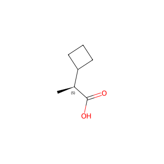 C[C@H](C(=O)O)C1CCC1